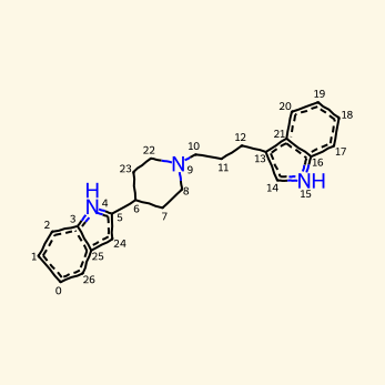 c1ccc2[nH]c(C3CCN(CCCc4c[nH]c5ccccc45)CC3)cc2c1